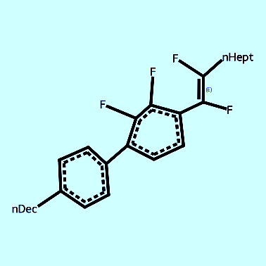 CCCCCCCCCCc1ccc(-c2ccc(/C(F)=C(\F)CCCCCCC)c(F)c2F)cc1